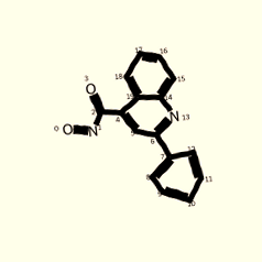 O=NC(=O)c1cc(-c2ccccc2)nc2ccccc12